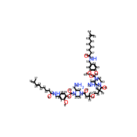 COc1cc(CNC(=O)CCCC/C=C/C(C)C)ccc1OC(=O)N1CCN(C(=O)CC(C)(C)OCCC(C)(C)C(=O)N2CCN(C(=O)Oc3ccc(CNC(=O)CCCCCCC(C)C)cc3OC)C(CN)C2)CC1CN